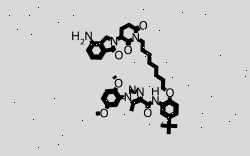 COc1ccc(OC)c(-n2nnc(C(=O)Nc3cc(C(C)(C)C)ccc3OCCCCCCCCN3C(=O)CCC(N4Cc5c(N)cccc5C4=O)C3=O)c2C)c1